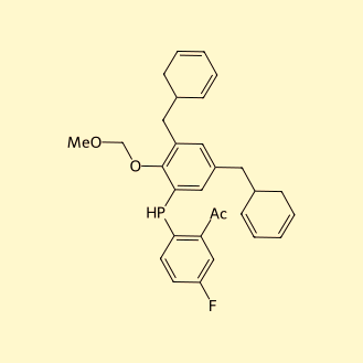 COCOc1c(CC2C=CC=CC2)cc(CC2C=CC=CC2)cc1Pc1ccc(F)cc1C(C)=O